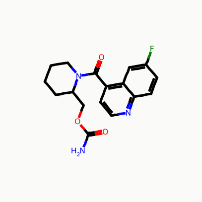 NC(=O)OCC1CCCCN1C(=O)c1ccnc2ccc(F)cc12